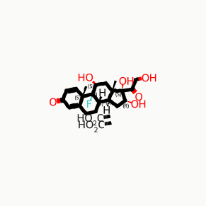 CC(=O)O.CC(=O)O.C[C@]12C=CC(=O)C=C1CC[C@H]1[C@@H]3C[C@@H](O)[C@](O)(C(=O)CO)[C@@]3(C)C[C@H](O)[C@@]12F